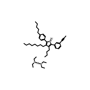 CC#Cc1cccc(C2=C(CCCC)C(CCCCCCCC)=C(c3ccc(CCCCC)cc3)[N+]2=[N-])c1.CC[N](CC)[Ni][N](CC)CC